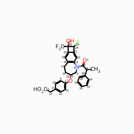 C[C@H](C(=O)N1C[C@@H](Oc2ccc(CC(=O)O)cc2)CCc2cc3c(cc21)C(F)C3(O)C(F)(F)F)c1ccccc1